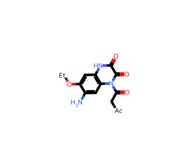 CCOc1cc2[nH]c(=O)c(=O)n(C(=O)CC(C)=O)c2cc1N